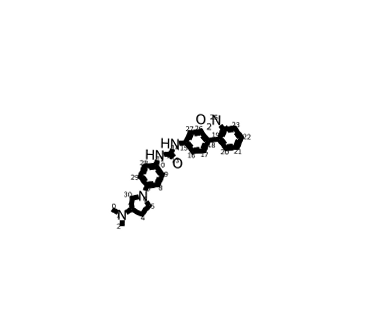 CN(C)C1CCN(c2ccc(NC(=O)Nc3ccc(-c4ccccc4[N+](=O)[O-])cc3)cc2)C1